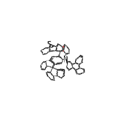 c1ccc(N(c2ccc3c4ccccc4c4ccccc4c3c2)c2cc3c(cc2-c2cccc4sc5ccccc5c24)-c2ccccc2C32c3ccccc3-c3ccccc32)cc1